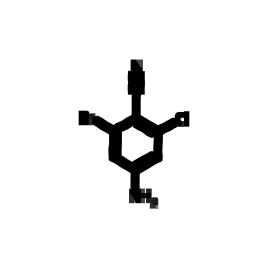 N#Cc1c(Cl)cc(N)cc1Br